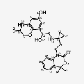 CC1(C)OC(=O)N(CCC2(NCC(O)c3cc(O)cc4c3OCC(=O)N4)CC2)c2ccccc21